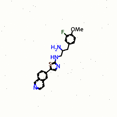 COc1ccc(CC(N)CNc2ncc(-c3ccc4cnccc4c3)s2)cc1F